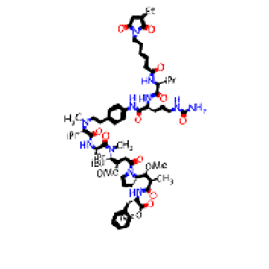 CCC1CC(=O)N(CCCCCC(=O)N[C@H](C(=O)N[C@@H](CCCNC(N)=O)C(=O)Nc2ccc(CCN(C)[C@H](C(=O)N[C@H](C(=O)N(C)[C@@H]([C@@H](C)CC)[C@@H](CC(=O)N3CCC[C@H]3[C@H](OC)[C@@H](C)C(=O)N[C@@H](Cc3ccccc3)C(=O)OC)OC)C(C)C)C(C)C)cc2)C(C)C)C1=O